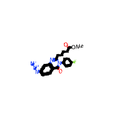 COC(=O)CCCCc1nc2cc(N=[N+]=[N-])ccc2c(=O)n1-c1ccc(F)cc1